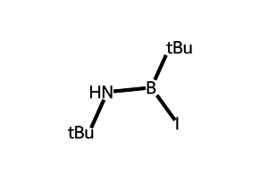 CC(C)(C)NB(I)C(C)(C)C